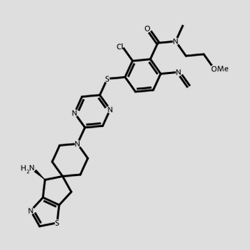 C=Nc1ccc(Sc2cnc(N3CCC4(CC3)Cc3scnc3[C@H]4N)cn2)c(Cl)c1C(=O)N(C)CCOC